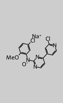 COc1ccc(Cl)cc1N([O-])c1nccc(-c2ccnc(Cl)c2)n1.[Na+]